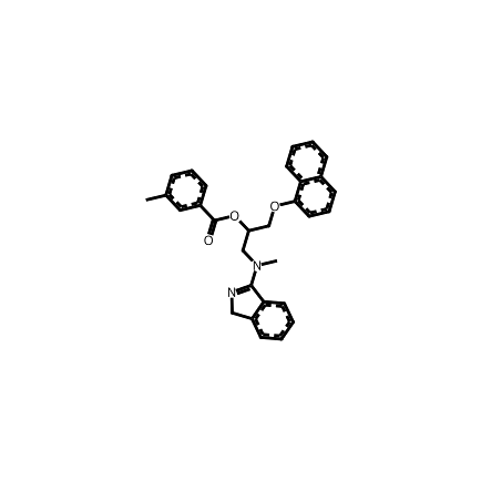 Cc1cccc(C(=O)OC(COc2cccc3ccccc23)CN(C)C2=NCc3ccccc32)c1